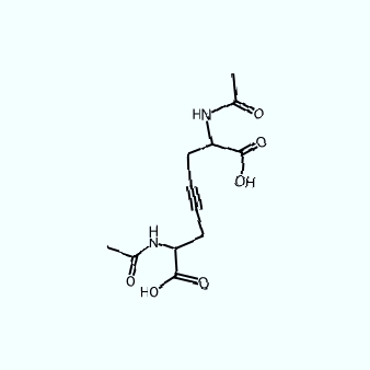 CC(=O)NC(CC#CCC(NC(C)=O)C(=O)O)C(=O)O